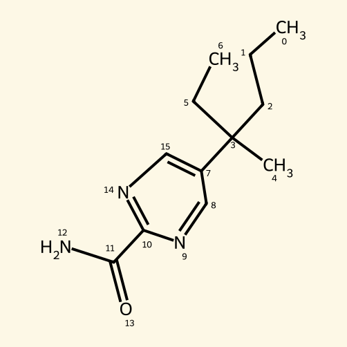 CCCC(C)(CC)c1cnc(C(N)=O)nc1